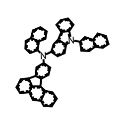 c1ccc2cc(-n3c4ccccc4c4cc(N(c5ccc6c(c5)-c5cccc7cc8ccccc8c-6c57)c5cccc6ccccc56)ccc43)ccc2c1